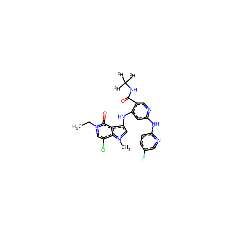 [2H]C([2H])([2H])NC(=O)c1cnc(Nc2ccc(F)cn2)cc1Nc1cn(C)c2c(Cl)cn(CC)c(=O)c12